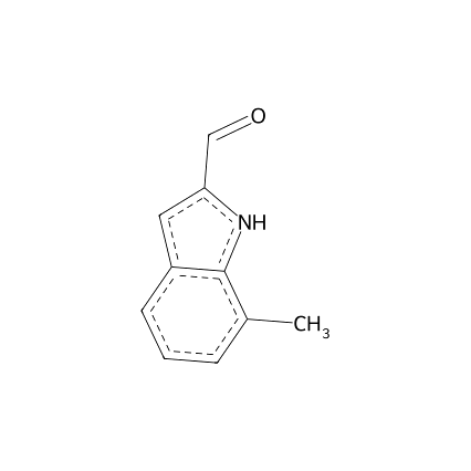 Cc1cccc2cc(C=O)[nH]c12